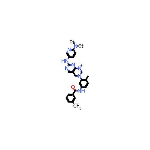 CCN(CC)c1ccc(Nc2ncc3c(n2)N(C)CN(c2cc(NC(=O)c4cccc(C(F)(F)F)c4)ccc2C)C3)cn1